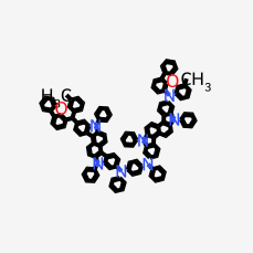 Cc1cccc(C(c2ccc3c4c5ccc6c(c5ccc4n(-c4ccccc4)c3c2)c2ccc(N(c3ccccc3)c3ccc(N(c4ccccc4)c4ccc5c7c8ccc9c(c8ccc7n(-c7ccccc7)c5c4)c4ccc(N(c5cccc(C)c5)c5cccc7c5oc5ccccc57)cc4n9-c4ccccc4)cc3)cc2n6-c2ccccc2)c2cccc3c2oc2ccccc23)c1